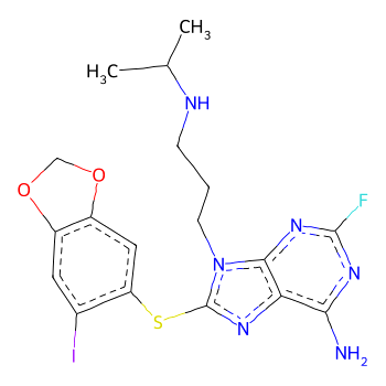 CC(C)NCCCn1c(Sc2cc3c(cc2I)OCO3)nc2c(N)nc(F)nc21